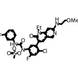 CCn1c(=O)c(-c2cc(N(OS(C)(=O)=O)C(=O)Nc3cccc(F)c3)c(F)cc2Cl)cc2cnc(NCCOC)cc21